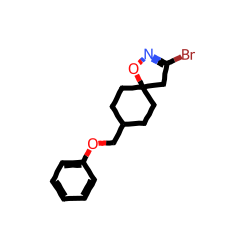 BrC1=NOC2(CCC(COc3ccccc3)CC2)C1